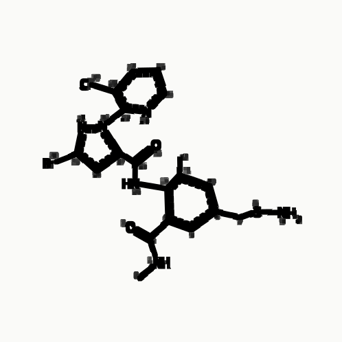 CNC(=O)c1cc(CSN)cc(C)c1NC(=O)c1cc(Br)nn1-c1ncccc1Cl